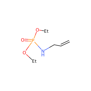 C=CCNP(=O)(OCC)OCC